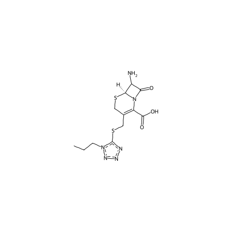 CCCn1nnnc1SCC1=C(C(=O)O)N2C(=O)C(N)[C@@H]2SC1